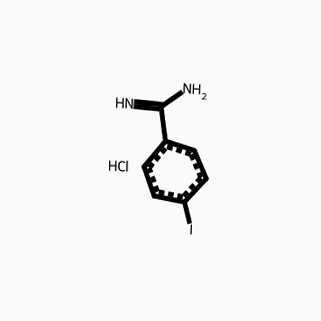 Cl.N=C(N)c1ccc(I)cc1